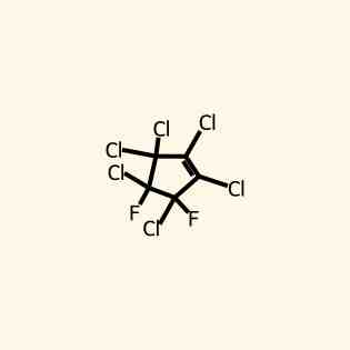 FC1(Cl)C(Cl)=C(Cl)C(Cl)(Cl)C1(F)Cl